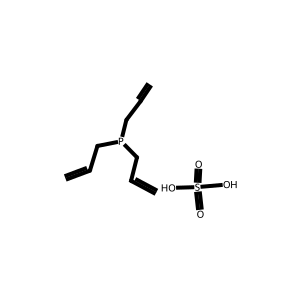 C=CCP(CC=C)CC=C.O=S(=O)(O)O